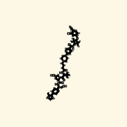 Cc1ncsc1-c1ccc([C@H](CO)NC(=O)[C@@H]2C[C@@H](O)CN2C(=O)C(NC(=O)CCCN2CCN(c3ccc(C(=O)NC4C(C)(C)C(Oc5ccc(C#N)c(Cl)c5)C4(C)C)cn3)CC2)C(C)(C)C)cc1